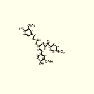 COc1cc(C=CC(=O)CC(C=Cc2ccc(O)c(OC)c2)=NNC(=O)c2ccc([N+](=O)[O-])cc2)ccc1O